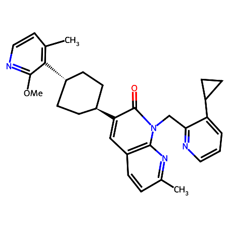 COc1nccc(C)c1[C@H]1CC[C@H](c2cc3ccc(C)nc3n(Cc3ncccc3C3CC3)c2=O)CC1